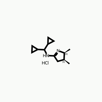 C[C@@H]1N=C(NC(C2CC2)C2CC2)C[C@@H]1C.Cl